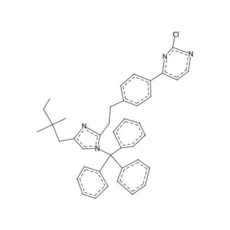 CCC(C)(C)Cc1cn(C(c2ccccc2)(c2ccccc2)c2ccccc2)c(CCc2ccc(-c3ccnc(Cl)n3)cc2)n1